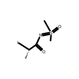 C[C@H](I)C(=O)N=S(C)(C)=O